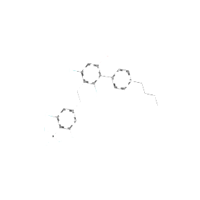 CCCCc1ccc(-c2c([O])cc(F)c(CCc3cc(F)c(C(F)(F)F)c(F)c3)c2F)cc1